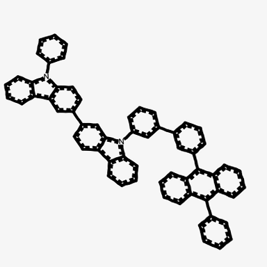 c1ccc(-c2c3ccccc3c(-c3cccc(-c4cccc(-n5c6ccccc6c6ccc(-c7ccc8c(c7)c7ccccc7n8-c7ccccc7)cc65)c4)c3)c3ccccc23)cc1